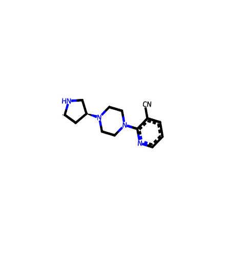 N#Cc1cccnc1N1CCN([C@H]2C[CH]NC2)CC1